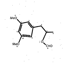 COc1cc(CC(C)OC=O)cc(OC)c1